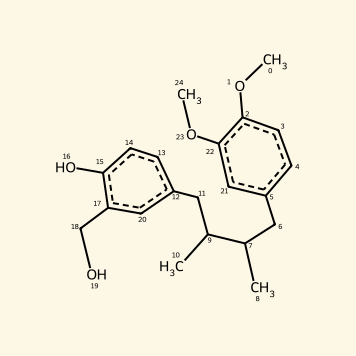 COc1ccc(CC(C)C(C)Cc2ccc(O)c(CO)c2)cc1OC